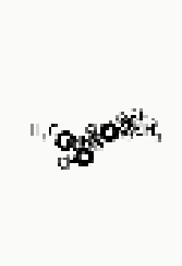 CC1CCN(c2c(Cl)cccc2NS(=O)(=O)c2ccc(S(=O)(=O)N(C)C)cc2)CC1